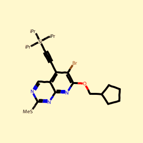 CSc1ncc2c(C#C[Si](C(C)C)(C(C)C)C(C)C)c(Br)c(OCC3CCCC3)nc2n1